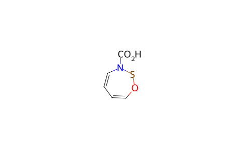 O=C(O)n1ccccos1